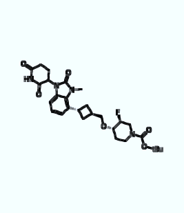 Cn1c(=O)n(C2CCC(=O)NC2=O)c2cccc([C@H]3C[C@H](CO[C@H]4CCN(C(=O)OC(C)(C)C)C[C@@H]4F)C3)c21